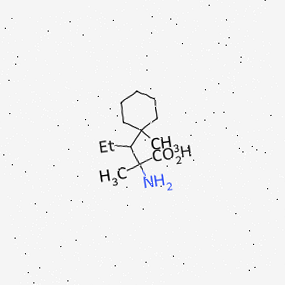 CCC(C1(C)CCCCC1)C(C)(N)C(=O)O